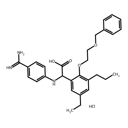 CCCc1cc(CC)cc(C(Nc2ccc(C(=N)N)cc2)C(=O)O)c1OCCOCc1ccccc1.Cl